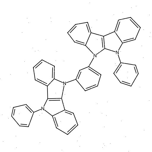 c1ccc(-n2c3ccccc3c3c2c2ccccc2n3-c2cccc(-n3c4ccccc4c4c5ccccc5n(-c5ccccc5)c43)c2)cc1